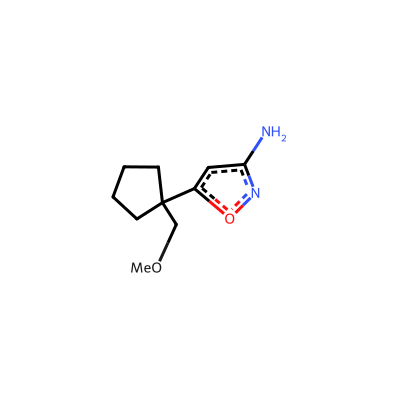 COCC1(c2cc(N)no2)CCCC1